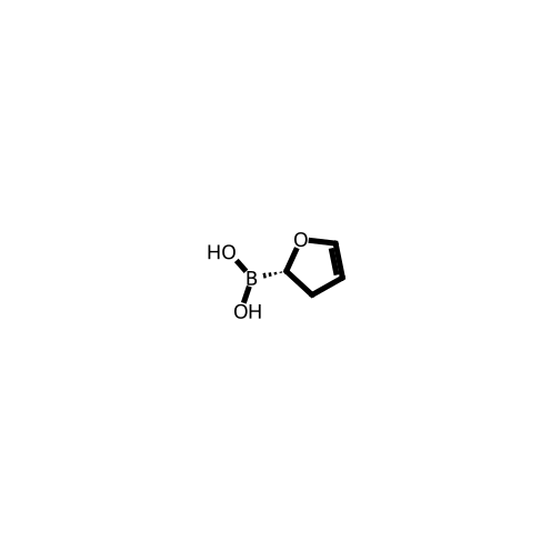 OB(O)[C@H]1CC=CO1